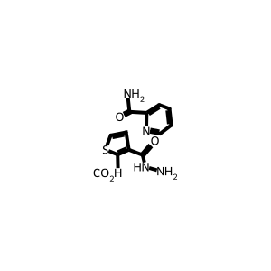 NC(=O)c1ccccn1.NNC(=O)c1ccsc1C(=O)O